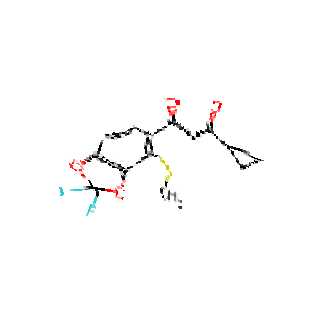 CSc1c(C(=O)CC(=O)C2CC2)ccc2c1OC(F)(F)O2